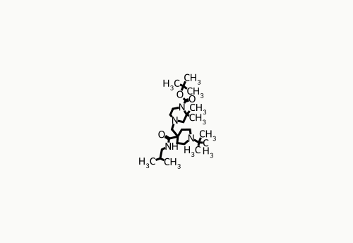 CC(C)CNC(=O)C1(CN2CCN(C(=O)OC(C)(C)C)C(C)(C)C2)CCN(C(C)(C)C)CC1